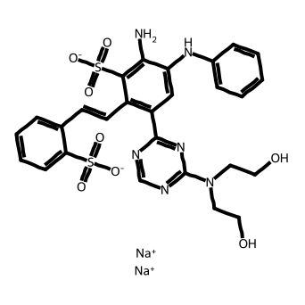 Nc1c(Nc2ccccc2)cc(-c2ncnc(N(CCO)CCO)n2)c(C=Cc2ccccc2S(=O)(=O)[O-])c1S(=O)(=O)[O-].[Na+].[Na+]